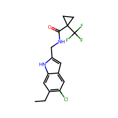 CCc1cc2[nH]c(CNC(=O)C3(C(F)(F)F)CC3)cc2cc1Cl